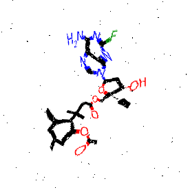 C#C[C@]1(COC(=O)CC(C)(C)c2c(C)cc(C)cc2OC(C)=O)O[C@@H](n2cnc3c(N)nc(F)nc32)C[C@@H]1O